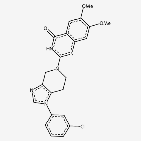 COc1cc2nc(N3CCc4c(ncn4-c4cccc(Cl)c4)C3)[nH]c(=O)c2cc1OC